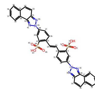 O=S(=O)(O)c1cc(-n2nc3ccc4ccccc4c3n2)ccc1C=Cc1ccc(-n2nc3ccc4ccccc4c3n2)cc1S(=O)(=O)O